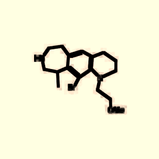 COCCN1CCCc2cc3c(c(Br)c21)C(C)CNCC3